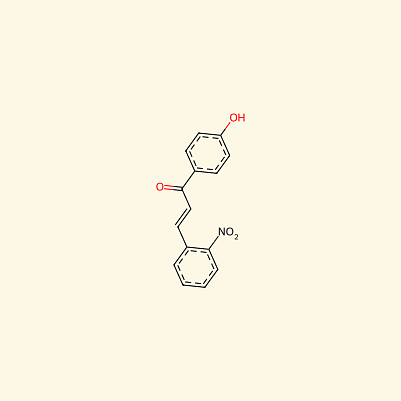 O=C(C=Cc1ccccc1[N+](=O)[O-])c1ccc(O)cc1